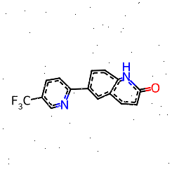 O=c1ccc2cc(-c3ccc(C(F)(F)F)cn3)ccc2[nH]1